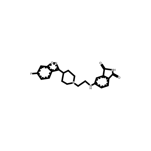 O=C1NC(=O)c2cc(NCCN3CCC(c4noc5cc(F)ccc45)CC3)ccc21